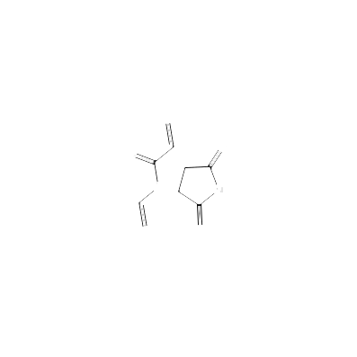 C=COC(=O)C=C.O=C1CCC(=O)N1